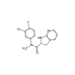 CN(C(=O)C1Cc2cccnc2N1)c1ccc(F)c(Cl)c1